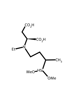 CCN(CCC(C)[SiH](OC)OC)[C@@H](CC(=O)O)C(=O)O